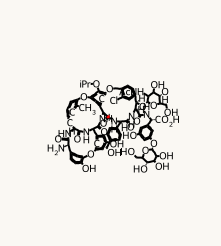 CC(=O)NC1C(O)[C@H](O)C(CO)O[C@H]1O[C@@H]1c2ccc(c(Cl)c2)Oc2cc3cc(c2OC(C)C)Oc2ccc(cc2C)C[C@H]2NC(=O)[C@H](N)c4ccc(O)c(c4)Oc4cc(O)cc(c4)C(NC2=O)C(=O)N[C@H]3C(=O)N[C@H](c2ccc(CO)cc2)C(=O)N[C@@H]1C(=O)N[C@H](C(=O)O)c1cc(O)cc(O[C@H]2OC(CO)[C@@H](O)C(O)C2O)c1